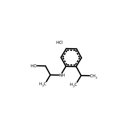 CC(CO)Nc1ccccc1C(C)C.Cl